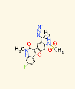 CNC(=O)c1c(-c2ccc(F)cc2)oc2cc(NS(C)(=O)=O)c(C(C)N=[N+]=[N-])cc12